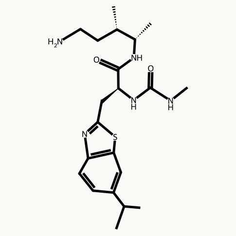 CNC(=O)N[C@@H](Cc1nc2ccc(C(C)C)cc2s1)C(=O)N[C@@H](C)[C@@H](C)CCN